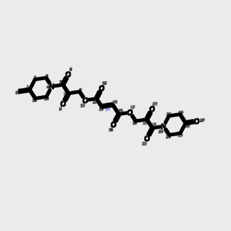 C=C1CCN(C(=O)C(=O)COC(=O)/C=C/C(=O)OCC(=O)C(=O)N2CCC(=O)CC2)CC1